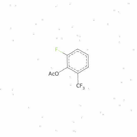 CC(=O)Oc1c(F)cccc1C(F)(F)F